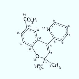 CC1(C)C=C(c2ccccn2)c2cc(C(=O)O)ccc2O1